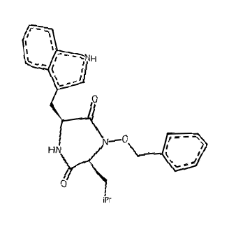 CC(C)C[C@H]1C(=O)N[C@@H](Cc2c[nH]c3ccccc23)C(=O)N1OCc1ccccc1